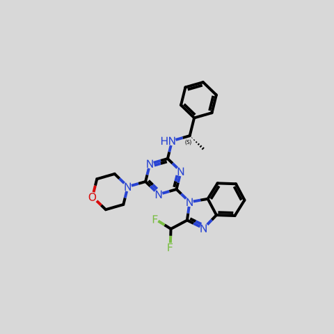 C[C@H](Nc1nc(N2CCOCC2)nc(-n2c(C(F)F)nc3ccccc32)n1)c1ccccc1